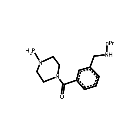 CCCNCc1cccc(C(=O)N2CCN(P)CC2)c1